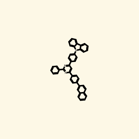 c1ccc(-c2nc(-c3ccc(-c4ccc5ccccc5c4)cc3)cc(-c3ccc(-n4c5ccccc5c5ccccc54)cc3)n2)cc1